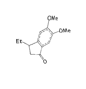 CCC1CC(=O)c2cc(OC)c(OC)cc21